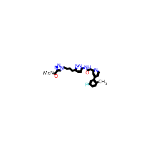 CNC(=O)c1cn(CCCCc2ccc(NC(=O)Cc3cc(-c4cc(F)ccc4C)ccn3)nn2)nn1